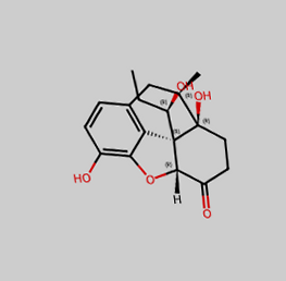 CC[C@@H](O)[C@]12c3c4ccc(O)c3O[C@H]1C(=O)CC[C@@]2(O)[C@H](C)C4